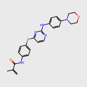 C=C(C)C(=O)Nc1ccc(Sc2ccnc(Nc3ccc(N4CCOCC4)cc3)n2)cc1